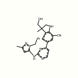 Cc1cc(Nc2nccc(-c3cc(C#N)c4c(c3)C(C)(CO)CN4)n2)n(CC(C)C)n1